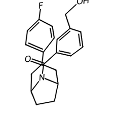 O=C(c1cccc(CO)c1)N1C2CCC1CC(c1ccc(F)cc1)C2